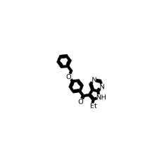 CCc1[nH]c2ncncc2c1C(=O)c1ccc(OCc2ccccc2)cc1